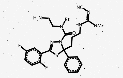 CCN(CCN)C(=O)N1N=C(c2cc(F)ccc2F)SC1(CCCN/C(=N\C#N)NC)c1ccccc1